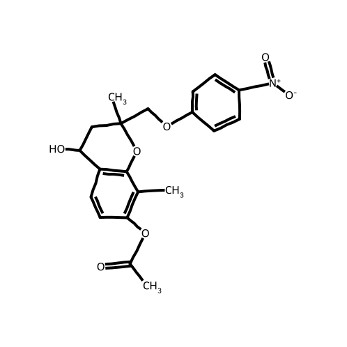 CC(=O)Oc1ccc2c(c1C)OC(C)(COc1ccc([N+](=O)[O-])cc1)CC2O